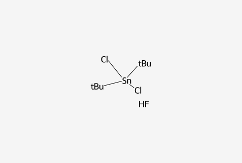 C[C](C)(C)[Sn]([Cl])([Cl])[C](C)(C)C.F